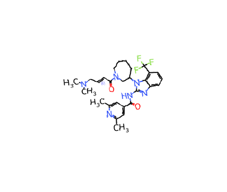 Cc1cc(C(=O)Nc2nc3cccc(C(F)(F)F)c3n2C2CCCCN(C(=O)/C=C/CN(C)C)C2)cc(C)n1